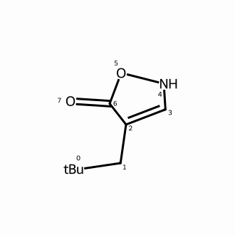 CC(C)(C)Cc1c[nH]oc1=O